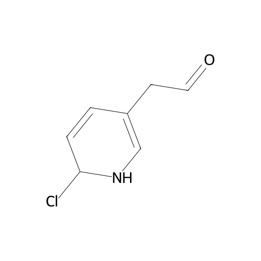 O=CCC1=CNC(Cl)C=C1